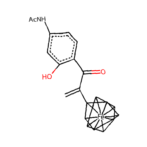 C=C(C(=O)c1ccc(NC(C)=O)cc1O)[C]12[CH]3[CH]4[CH]5[CH]1[Fe]45321678[CH]2[CH]1[CH]6[CH]7[CH]28